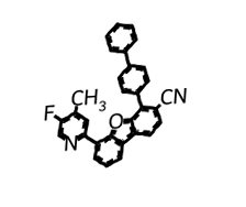 Cc1cc(-c2cccc3c2oc2c(-c4ccc(-c5ccccc5)cc4)c(C#N)ccc23)ncc1F